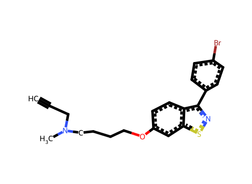 C#CCN(C)CCCCOc1ccc2c(-c3ccc(Br)cc3)nsc2c1